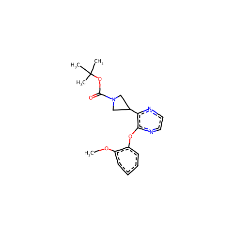 COc1ccccc1Oc1nccnc1C1CN(C(=O)OC(C)(C)C)C1